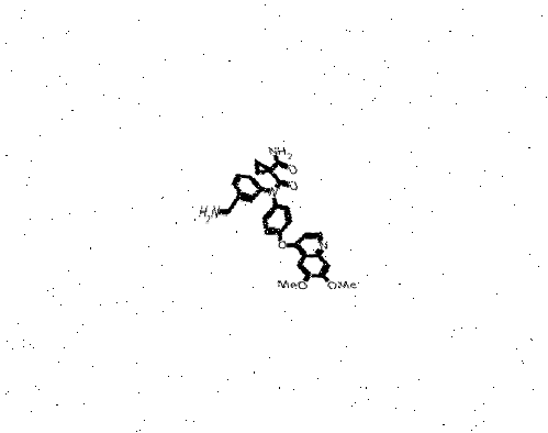 COc1cc2nccc(Oc3ccc(N(C(=O)C4(C(N)=O)CC4)c4cccc(CN)c4)cc3)c2cc1OC